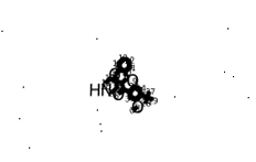 COc1cc(C(=O)C2C(=O)c3ccccc3OC23CCNCC3)ccc1C(C)(C)C